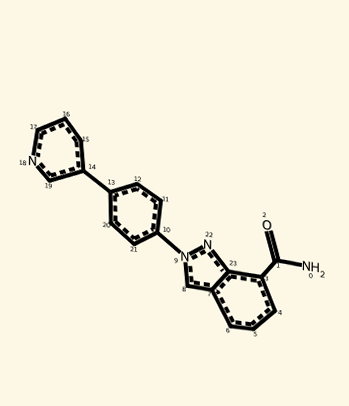 NC(=O)c1cccc2cn(-c3ccc(-c4cccnc4)cc3)nc12